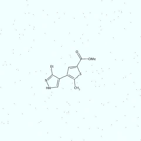 CCc1n[nH]cc1-c1cc(C(=O)OC)sc1C